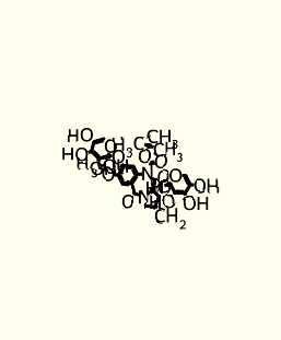 C=C1C[C@H]2[C@H](OC3(O)OC=C(O)C(O)=C3O)N(C(=O)OC(C)(C)C)c3cc(OC4(O)OC=C(O)C(O)=C4O)c(OC)cc3C(=O)N2C1